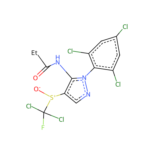 CCC(=O)Nc1c([S+]([O-])C(F)(Cl)Cl)cnn1-c1c(Cl)cc(Cl)cc1Cl